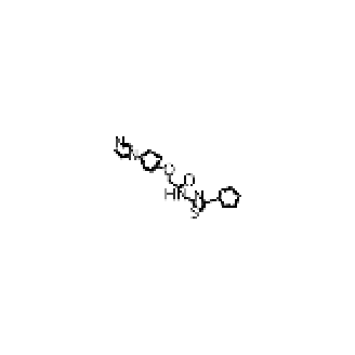 O=C(COc1ccc(-n2ccnc2)cc1)Nc1nc(-c2ccccc2)cs1